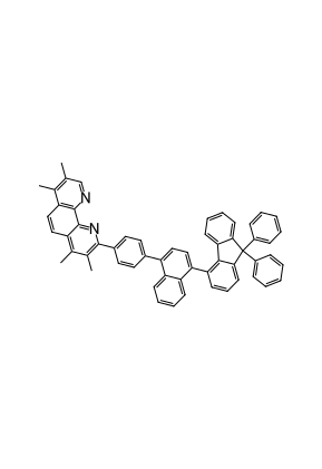 Cc1cnc2c(ccc3c(C)c(C)c(-c4ccc(-c5ccc(-c6cccc7c6-c6ccccc6C7(c6ccccc6)c6ccccc6)c6ccccc56)cc4)nc32)c1C